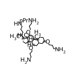 CCCNCCC[C@@H](C)[C@H]1CC[C@H]2C3[C@H](OCCCN)CC4C[C@H](OCCCN)CC[C@]4(C)[C@H]3C[C@H](OCCCN)[C@]12C